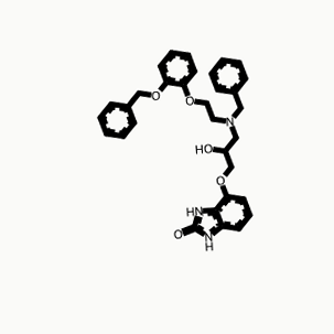 O=c1[nH]c2cccc(OCC(O)CN(CCOc3ccccc3OCc3ccccc3)Cc3ccccc3)c2[nH]1